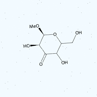 CO[C@H]1OC(CO)C(O)C(=O)[C@H]1O